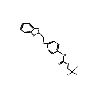 O=C(Nc1ccc(OCc2nc3ccccc3s2)cc1)OCC(Cl)(Cl)Cl